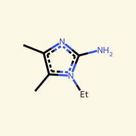 CCn1c(N)nc(C)c1C